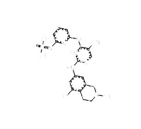 CN1CCc2c(Cl)cc(Nc3ncc(C#N)c(Nc4cccc(N=S(C)(C)=O)n4)n3)cc2C1